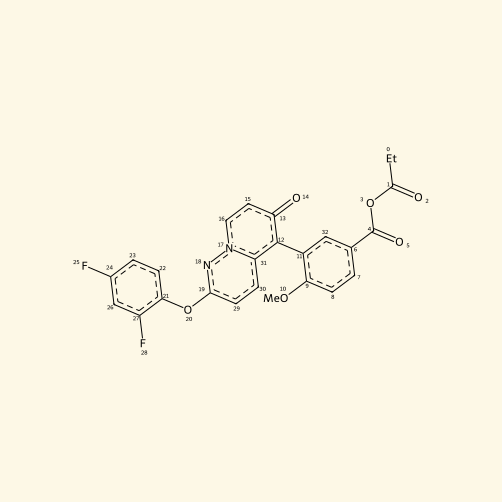 CCC(=O)OC(=O)c1ccc(OC)c(-c2c(=O)ccn3nc(Oc4ccc(F)cc4F)ccc23)c1